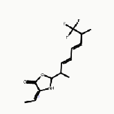 C/C=C1/NC(C(C)C=CC=CC(C)C(F)(F)F)OC1=O